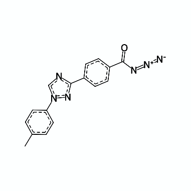 Cc1ccc(-n2cnc(-c3ccc(C(=O)N=[N+]=[N-])cc3)n2)cc1